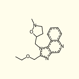 CCOCc1nc2cnc3ccccc3c2n1CC1CCN(C)O1